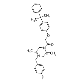 C[C@@H]1CN(C(=O)COc2ccc(C(C)(C)c3ccccc3)cc2)[C@@H](C)CN1Cc1ccc(F)cc1